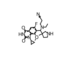 CCN(CCC#N)C(c1c(F)cc2c(=O)[nH]c(=O)n(C3CC3)c2c1OC)C1(C)CCNC1